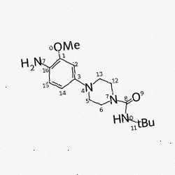 COc1cc(N2CCN(C(=O)NC(C)(C)C)CC2)ccc1N